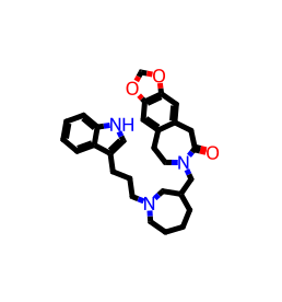 O=C1Cc2cc3c(cc2CCN1CC1CCCCN(CCCc2c[nH]c4ccccc24)C1)OCO3